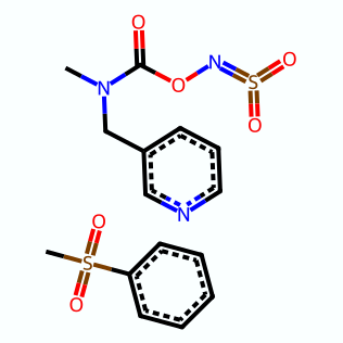 CN(Cc1cccnc1)C(=O)ON=S(=O)=O.CS(=O)(=O)c1ccccc1